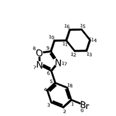 Brc1cccc(-c2noc(CC3CC[CH]CC3)n2)c1